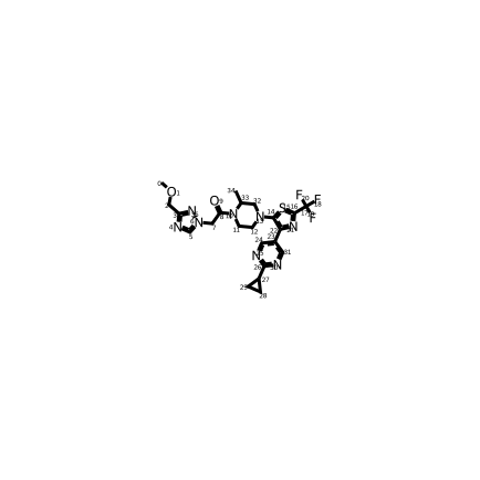 COCc1ncn(CC(=O)N2CCN(c3sc(C(F)(F)F)nc3-c3cnc(C4CC4)nc3)CC2C)n1